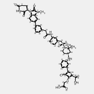 Cn1c(=O)n(C2CCC(=O)NC2=O)c2ccc(-c3cccc(CC(=O)Nc4cccc(CS(=O)(=O)N5CC[C@H](Nc6cccc(-c7sc(C(=O)O)c(OCC(=O)O)c7Cl)c6)CC5(C)C)c4)c3)cc21